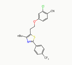 CCCCc1nc(-c2ccc(C(F)(F)F)cc2)sc1CCOc1ccc(C#N)c(Cl)c1